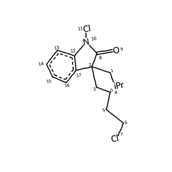 CC(C)CC1(CCCCCl)C(=O)N(Cl)c2ccccc21